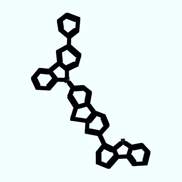 c1ccc(-c2ccc3c(c2)c2ccccc2n3-c2ccc3c(c2)Cc2cc(-c4cccc5c4sc4ccccc45)ccc2-3)cc1